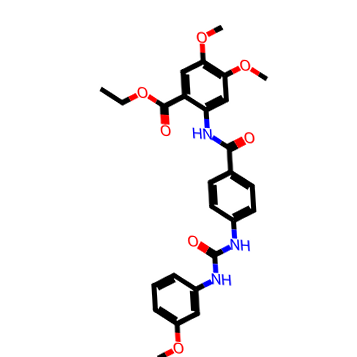 CCOC(=O)c1cc(OC)c(OC)cc1NC(=O)c1ccc(NC(=O)Nc2cccc(OC)c2)cc1